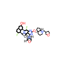 C#Cc1c(F)ccc2cc(O)cc(-c3nc(OC)c4c(N5C[C@H]6C[C@@H]5CO6)nc(OC[C@]56CCC[C@H]5N(CC5CCOC5)CCC6)nc4c3F)c12